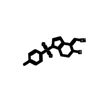 Cc1ccc(S(=O)(=O)n2ccc3c2CCC(Cl)C3=CC#N)cc1